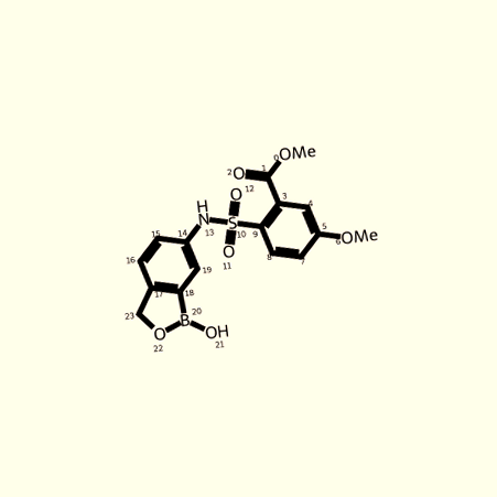 COC(=O)c1cc(OC)ccc1S(=O)(=O)Nc1ccc2c(c1)B(O)OC2